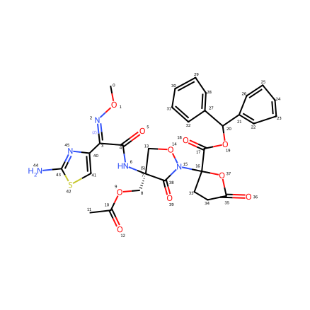 CO/N=C(\C(=O)N[C@@]1(COC(C)=O)CON(C2(C(=O)OC(c3ccccc3)c3ccccc3)CCC(=O)O2)C1=O)c1csc(N)n1